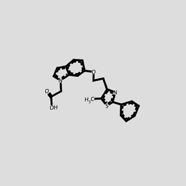 Cc1sc(-c2ccccc2)nc1CCOc1ccc2ccn(CC(=O)O)c2c1